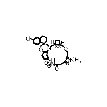 Cn1nc2cc1COC[C@@H]1CC[C@H]1CN1C[C@@]3(CCCc4cc(Cl)ccc43)COc3ccc(cc31)S(=O)(=O)NC(=O)C2